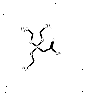 CCO[Si](CC(=O)O)(OCC)OCC